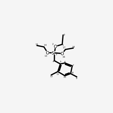 CCO[Si](Cc1ccc(C)cc1C)(OCC)OCC